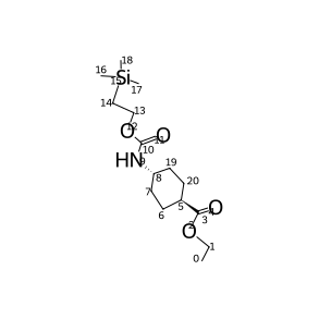 CCOC(=O)[C@H]1CC[C@H](NC(=O)OCC[Si](C)(C)C)CC1